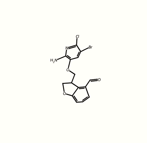 Nc1nc(Cl)c(Br)cc1OCC1COc2cccc(C=O)c21